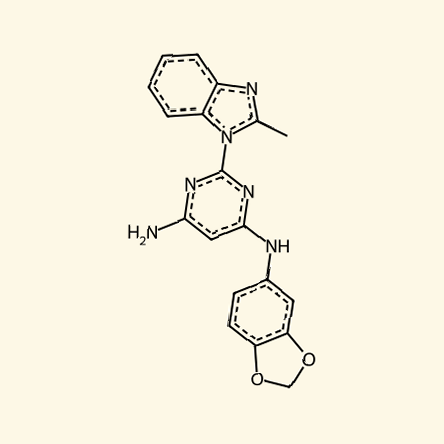 Cc1nc2ccccc2n1-c1nc(N)cc(Nc2ccc3c(c2)OCO3)n1